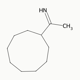 CC(=N)C1CCCCCCCC1